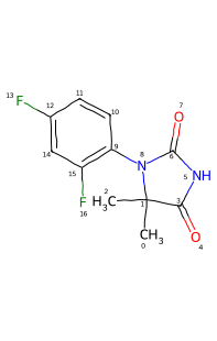 CC1(C)C(=O)NC(=O)N1c1ccc(F)cc1F